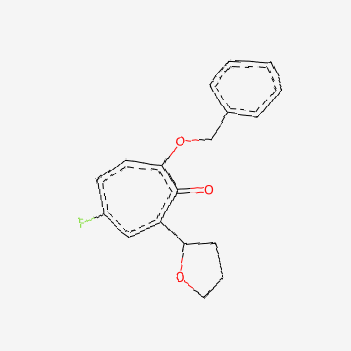 O=c1c(OCc2ccccc2)ccc(F)cc1C1CCCO1